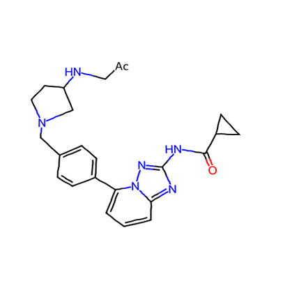 CC(=O)CNC1CCN(Cc2ccc(-c3cccc4nc(NC(=O)C5CC5)nn34)cc2)C1